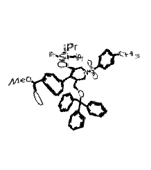 COC(=O)c1ccc(C2C(COC(c3ccccc3)(c3ccccc3)c3ccccc3)CN(S(=O)(=O)c3ccc(C)cc3)CC2O[Si](C(C)C)(C(C)C)C(C)C)cc1